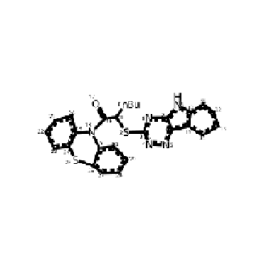 CCCCC(Sc1nnc2c(n1)[nH]c1ccccc12)C(=O)N1c2ccccc2Sc2ccccc21